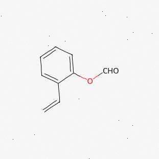 C=Cc1ccccc1OC=O